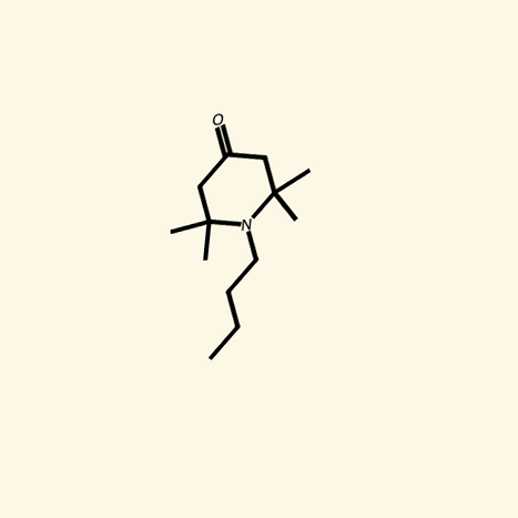 CCCCN1C(C)(C)CC(=O)CC1(C)C